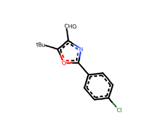 CC(C)(C)c1oc(-c2ccc(Cl)cc2)nc1C=O